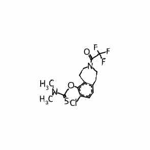 CN(C)C(=S)Oc1c(Cl)ccc2c1CCN(C(=O)C(F)(F)F)CC2